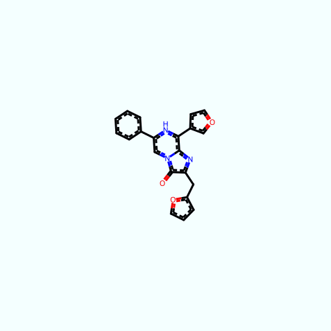 O=c1c(Cc2ccco2)nc2c(-c3ccoc3)[nH]c(-c3ccccc3)cn1-2